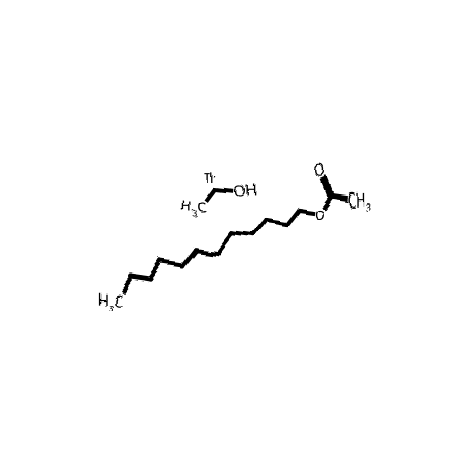 CCCCCCCCCCCCOC(C)=O.CCO.[Tl]